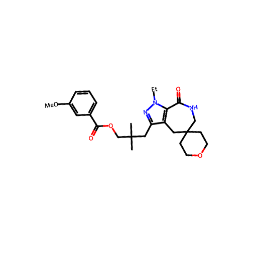 CCn1nc(CC(C)(C)COC(=O)c2cccc(OC)c2)c2c1C(=O)NCC1(CCOCC1)C2